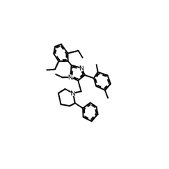 CCc1cccc(CC)c1-c1nc(-c2cc(C)ccc2C)c(CN2CCCCC2c2ccccc2)n1CC